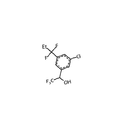 CCC(F)(F)c1cc(Cl)cc(C(O)C(F)(F)F)c1